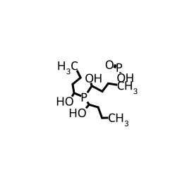 CCCC(O)P(C(O)CCC)C(O)CCC.O=PO